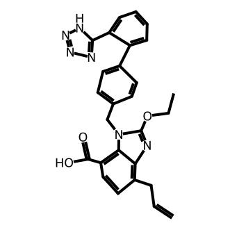 C=CCc1ccc(C(=O)O)c2c1nc(OCC)n2Cc1ccc(-c2ccccc2-c2nnn[nH]2)cc1